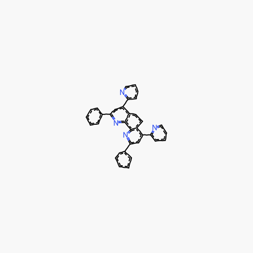 c1ccc(-c2cc(-c3ccccn3)c3ccc4c(-c5ccccn5)cc(-c5ccccc5)nc4c3n2)cc1